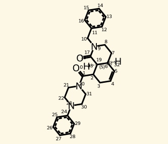 O=C(C1CC=C[C@@H]2CCN(Cc3ccccc3)C(=O)[C@H]12)N1CCN(c2ccccc2)CC1